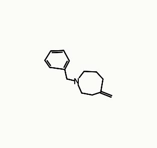 C=C1CCCN(Cc2ccccc2)CC1